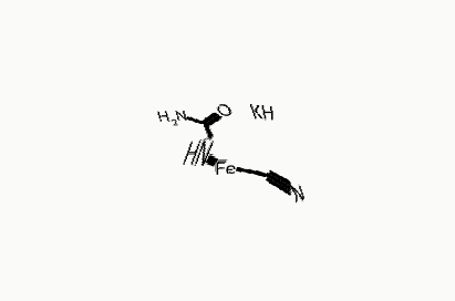 N#[C][Fe][NH]C(N)=O.[KH]